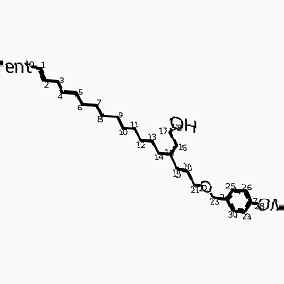 CCCCCC=CCC=CCCCCCCCCCC(CCO)CCCOCc1ccc(OC)cc1